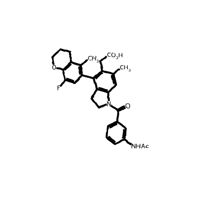 CC(=O)Nc1cccc(C(=O)N2CCc3c2cc(C)c(CC(=O)O)c3-c2cc(F)c3c(c2C)CCCO3)c1